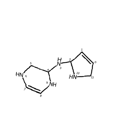 C1=CC(NC2CNC=CN2)NC1